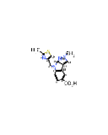 Cc1nc(Cn2c3ccc(C(=O)O)cc3c3cn(C)nc32)cs1